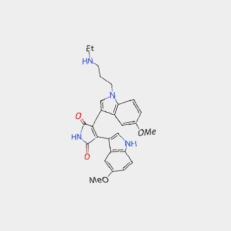 CCNCCCn1cc(C2=C(c3c[nH]c4ccc(OC)cc34)C(=O)NC2=O)c2cc(OC)ccc21